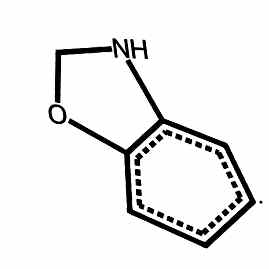 [c]1ccc2c(c1)NCO2